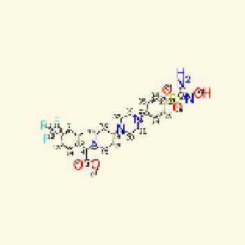 COC(=O)C(c1ccc(C(F)(F)F)cc1)N1CCC(N2CCN(c3ccc(S(=O)(=O)C(N)=NO)cc3)CC2)CC1